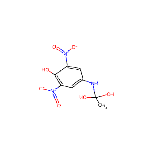 CC(O)(O)Nc1cc([N+](=O)[O-])c(O)c([N+](=O)[O-])c1